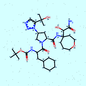 CC(C)(C)OC(=O)NC(CC1CCCCC1)C(=O)N1C[C@@H](n2nncc2C(C)(C)O)C[C@H]1C(=O)NC1(C(O)C(N)=O)CCCOCC1